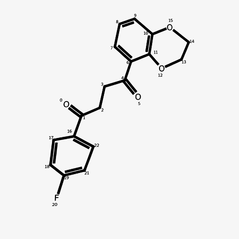 O=C(CCC(=O)c1cccc2c1OCCO2)c1ccc(F)cc1